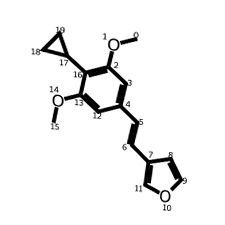 COc1cc(C=Cc2ccoc2)cc(OC)c1C1CC1